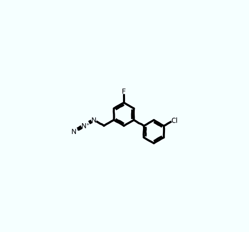 [N-]=[N+]=NCc1cc(F)cc(-c2cccc(Cl)c2)c1